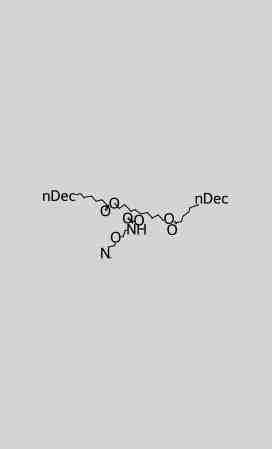 CCCCCCCCCCCCCCCC(=O)OCCCCC(CCCCOC(=O)CCCCCCCCCCCCCCC)OC(=O)NCCOCCN(C)C